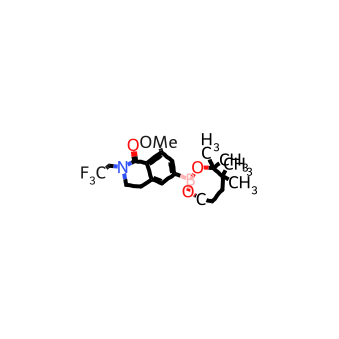 COc1cc(B2OCCCC(C)(C)C(C)(C)O2)cc2c1C(=O)N(CC(F)(F)F)CC2